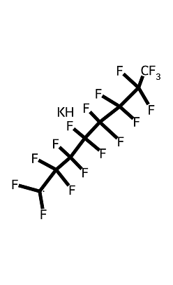 F[C](F)C(F)(F)C(F)(F)C(F)(F)C(F)(F)C(F)(F)C(F)(F)C(F)(F)F.[KH]